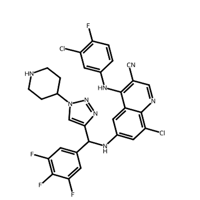 N#Cc1cnc2c(Cl)cc(NC(c3cc(F)c(F)c(F)c3)c3cn(C4CCNCC4)nn3)cc2c1Nc1ccc(F)c(Cl)c1